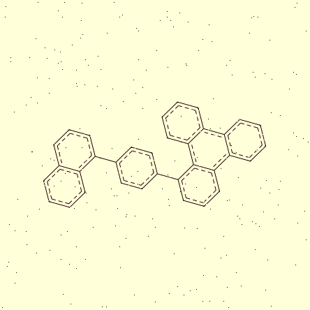 c1ccc2c(-c3ccc(-c4cccc5c6ccccc6c6ccccc6c45)cc3)cccc2c1